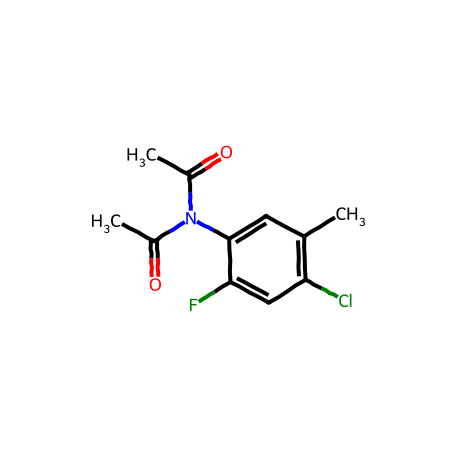 CC(=O)N(C(C)=O)c1cc(C)c(Cl)cc1F